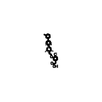 Cc1cccc(-c2cnc(N3C[C@@H](C)N(CCOc4cc(CC(=O)O)ccc4Cl)[C@@H](C)C3)nc2)c1